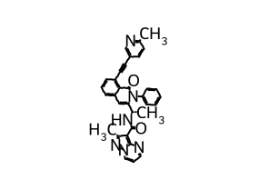 Cc1ccc(C#Cc2cccc3cc([C@@H](C)NC(=O)c4c(C)nn5cccnc45)n(-c4ccccc4)c(=O)c23)cn1